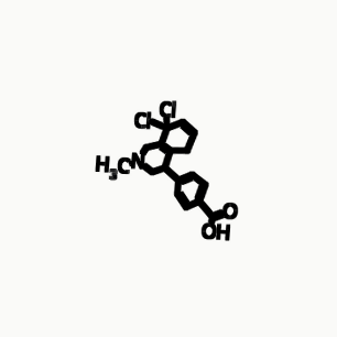 CN1CC2=C(CC=CC2(Cl)Cl)C(c2ccc(C(=O)O)cc2)C1